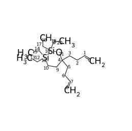 C=CCCC1(CCC=C)CC[Si](CC)(CC)[Si](CC)(CC)O1